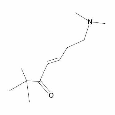 CN(C)CC/C=C/C(=O)C(C)(C)C